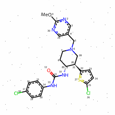 COc1ncc(CN2CC[C@@H](NC(=O)Nc3ccc(Cl)cc3)[C@H](c3ccc(Cl)s3)C2)cn1